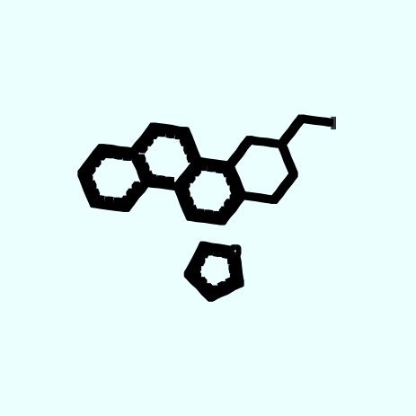 ICC1CCc2ccc3c(ccc4ccccc43)c2C1.c1ccoc1